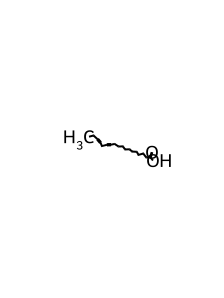 CCC#CCC#CCCCCCCCCCCC(=O)O